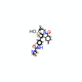 CC1CCC(C(=O)N(CC2CC2)c2cc(-c3ccc(NC(=O)c4cscn4)cc3)sc2C(=O)O)CC1